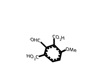 COc1ccc(C(=O)O)c([C]=O)c1C(=O)O